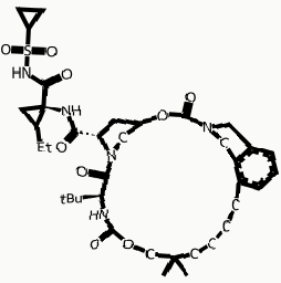 CCC1C[C@]1(NC(=O)[C@@H]1CC2CN1C(=O)[C@H](C(C)(C)C)NC(=O)OCC(C)(C)CCCCc1cccc3c1CN(C3)C(=O)O2)C(=O)NS(=O)(=O)C1CC1